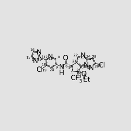 CCO[C@@]1(C(F)(F)F)C[C@H](C(=O)Nc2cnc(-n3nccn3)c(Cl)c2)c2cnc3cc(Cl)nn3c21